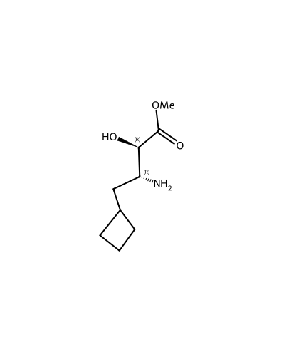 COC(=O)[C@H](O)[C@H](N)CC1CCC1